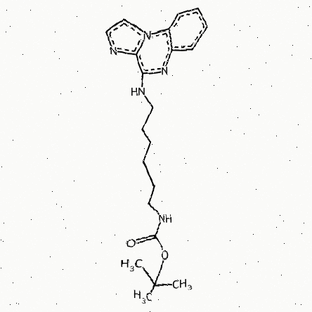 CC(C)(C)OC(=O)NCCCCCCNc1nc2ccccc2n2ccnc12